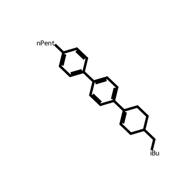 CCCCCc1ccc(-c2ccc(C3=CCC(CC(C)CC)CC3)cc2)cc1